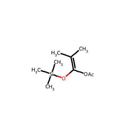 CC(=O)OC(O[Si](C)(C)C)=C(C)C